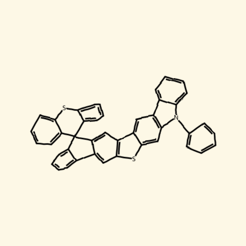 c1ccc(-n2c3ccccc3c3cc4c(cc32)sc2cc3c(cc24)C2(c4ccccc4Sc4ccccc42)c2ccccc2-3)cc1